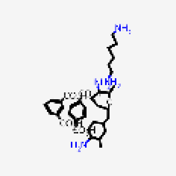 CC1CC(CC2CCC(N)C(C)C2)CCC1N.NCCCCCCN.O=C(O)c1ccc(C(=O)O)cc1.O=C(O)c1cccc(C(=O)O)c1